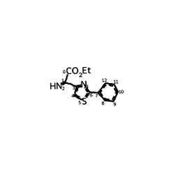 CCOC(=O)C(=N)c1csc(-c2ccccc2)n1